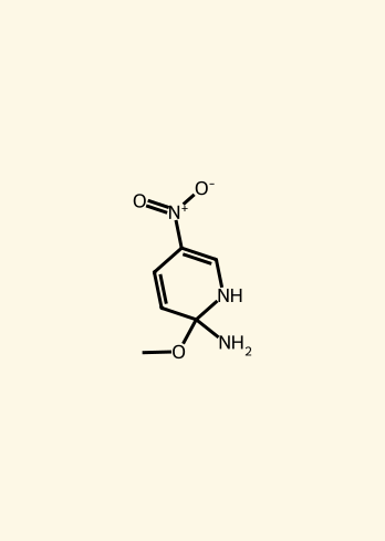 COC1(N)C=CC([N+](=O)[O-])=CN1